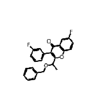 CC(OCc1ccccc1)c1oc2ccc(F)cc2c(=O)c1-c1cccc(F)c1